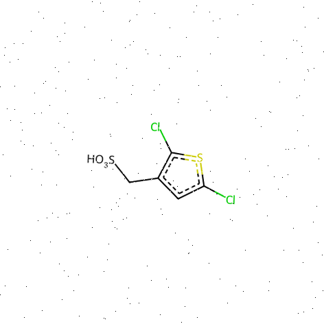 O=S(=O)(O)Cc1cc(Cl)sc1Cl